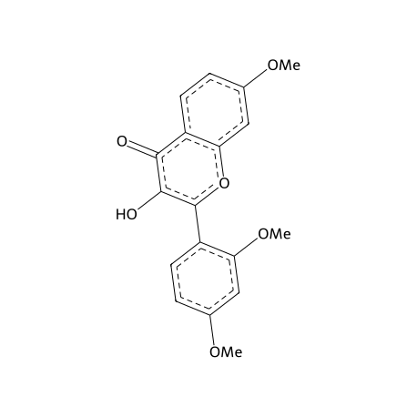 COc1ccc(-c2oc3cc(OC)ccc3c(=O)c2O)c(OC)c1